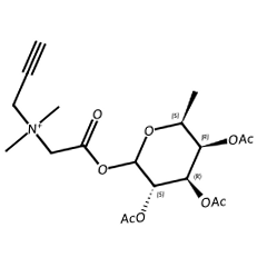 C#CC[N+](C)(C)CC(=O)OC1O[C@@H](C)[C@@H](OC(C)=O)[C@@H](OC(C)=O)[C@@H]1OC(C)=O